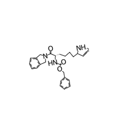 C=CC(N)CCCC[C@H](NC(=O)OCc1ccccc1)C(=O)N1Cc2ccccc2C1